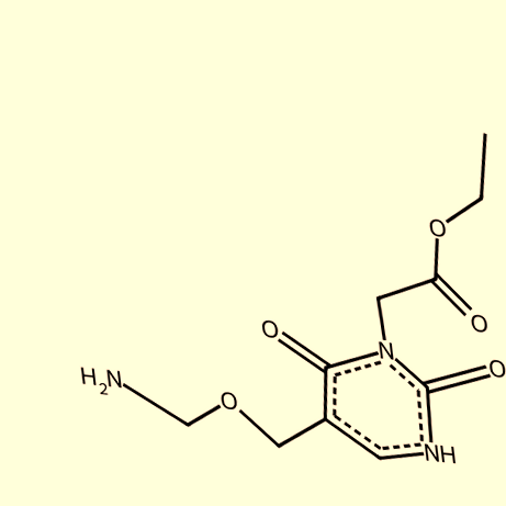 CCOC(=O)Cn1c(=O)[nH]cc(COCN)c1=O